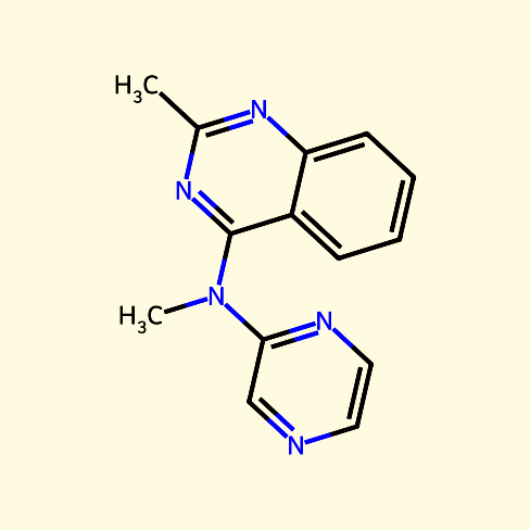 Cc1nc(N(C)c2cnccn2)c2ccccc2n1